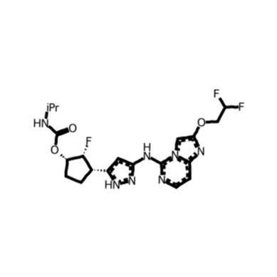 CC(C)NC(=O)O[C@H]1CC[C@@H](c2cc(Nc3nccc4nc(OCC(F)F)cn34)n[nH]2)[C@H]1F